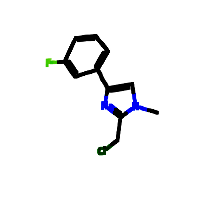 Cn1cc(-c2cccc(F)c2)nc1CCl